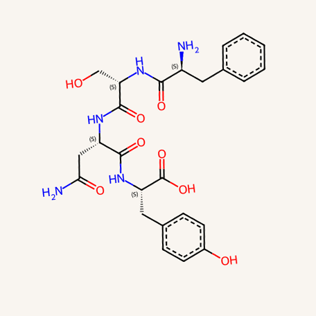 NC(=O)C[C@H](NC(=O)[C@H](CO)NC(=O)[C@@H](N)Cc1ccccc1)C(=O)N[C@@H](Cc1ccc(O)cc1)C(=O)O